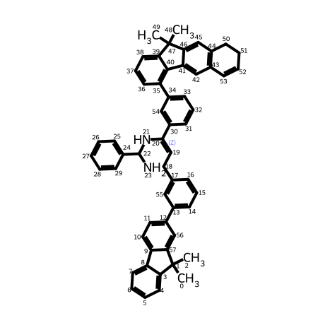 CC1(C)c2ccccc2-c2ccc(-c3cccc(C/C=C(\NC(N)c4ccccc4)c4cccc(-c5cccc6c5-c5cc7c(cc5C6(C)C)CCC=C7)c4)c3)cc21